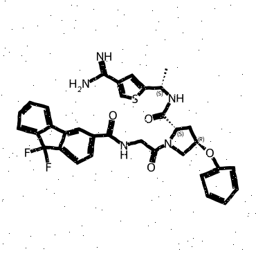 C[C@H](NC(=O)[C@@H]1C[C@@H](Oc2ccccc2)CN1C(=O)CNC(=O)c1ccc2c(c1)-c1ccccc1C2(F)F)c1cc(C(=N)N)cs1